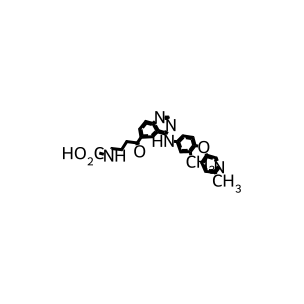 Cc1ccc(Oc2ccc(Nc3ncnc4ccc(C(=O)CCCNC(=O)O)cc34)cc2C)cn1